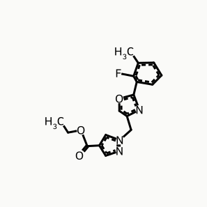 CCOC(=O)c1cnn(Cc2coc(-c3cccc(C)c3F)n2)c1